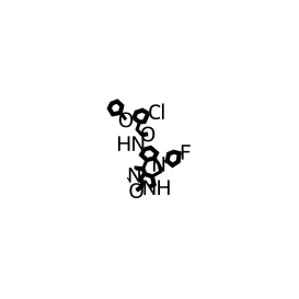 Cn1cc2c3c(c[nH]c(=O)c31)CN(c1ccc(F)cc1)c1ccc(NC(=O)Cc3cc(Cl)ccc3Oc3ccccc3)cc1-2